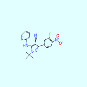 CC(C)(C)n1nc(-c2ccc([N+](=O)[O-])c(F)c2)c(C#N)c1Nc1ccccn1